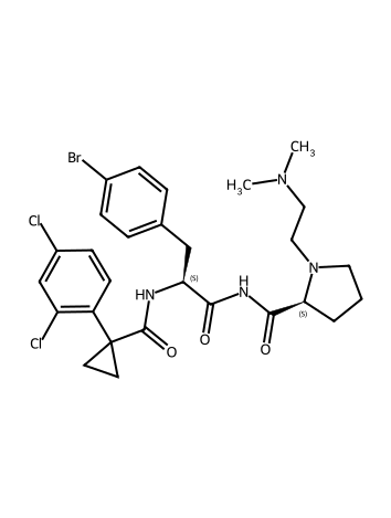 CN(C)CCN1CCC[C@H]1C(=O)NC(=O)[C@H](Cc1ccc(Br)cc1)NC(=O)C1(c2ccc(Cl)cc2Cl)CC1